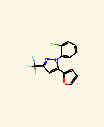 FC(F)(F)c1cc(-c2ccco2)n(-c2ccccc2Cl)n1